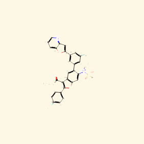 CNC(=O)c1c(-c2ccc(F)cc2)oc2cc(N(C)S(C)(=O)=O)c(-c3cc(F)cc(-c4cc5ncccc5o4)c3)cc12